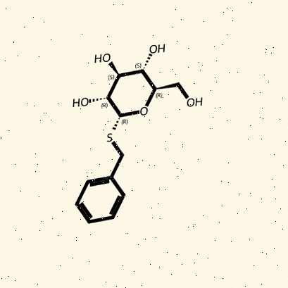 OC[C@H]1O[C@H](SCc2ccccc2)[C@H](O)[C@@H](O)[C@@H]1O